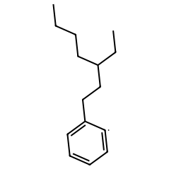 CCCCC(CC)CCc1[c]cccc1